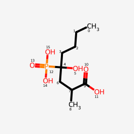 CCCCC(O)(CC(C)C(=O)O)P(=O)(O)O